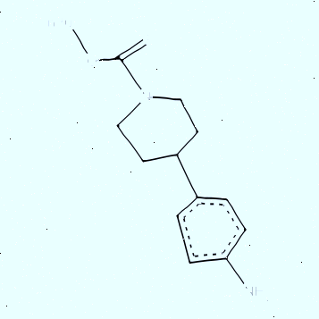 CCCCOC(=O)N1CCC(c2ccc(N)cc2)CC1